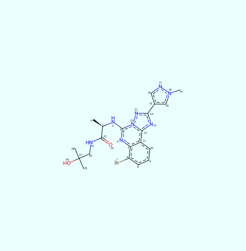 C[C@@H](Nc1nc2c(Br)cccc2c2nc(-c3cnn(C)c3)nn12)C(=O)NCC(C)(C)O